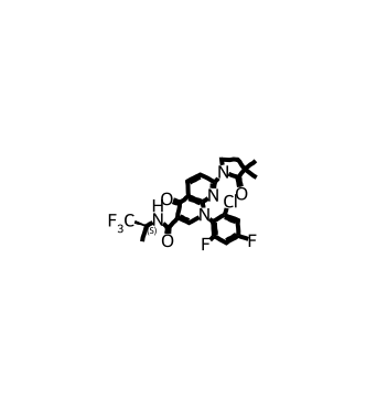 C[C@H](NC(=O)c1cn(-c2c(F)cc(F)cc2Cl)c2nc(N3CCC(C)(C)C3=O)ccc2c1=O)C(F)(F)F